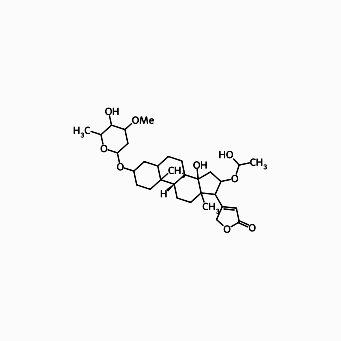 COC1CC(OC2CCC3(C)C(CCC4[C@@H]3CCC3(C)C(C5=CC(=O)OC5)C(OC(C)O)CC43O)C2)OC(C)C1O